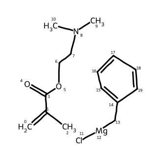 C=C(C)C(=O)OCCN(C)C.[Cl][Mg][CH2]c1ccccc1